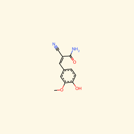 COc1cc(C=C(C#N)C(N)=O)ccc1O